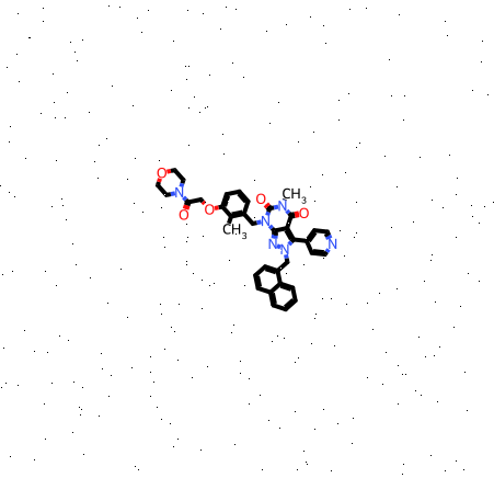 Cc1c(Cn2c(=O)n(C)c(=O)c3c(-c4ccncc4)n(Cc4cccc5ccccc45)nc32)cccc1OCC(=O)N1CCOCC1